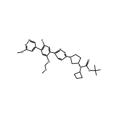 COCOc1cc(-c2cnnc(OC)c2)c(F)cc1-c1ccc(N2CC[C@@H](N(C(=O)OC(C)(C)C)C3CCC3)C2)nn1